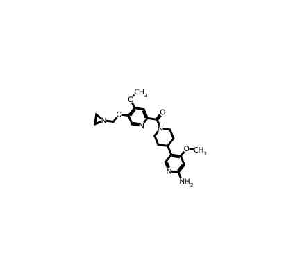 COc1cc(C(=O)N2CCC(c3cnc(N)cc3OC)CC2)ncc1OCN1CC1